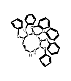 c1ccc(On2pn[pH][nH]p(Oc3ccccc3)n(Oc3ccccc3)p(Oc3ccccc3)n(Oc3ccccc3)p2Oc2ccccc2)cc1